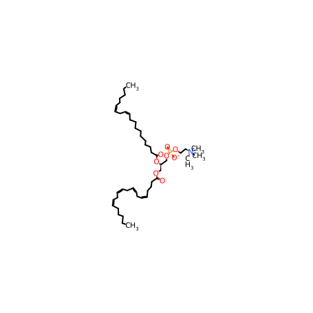 CCCCC/C=C\C/C=C\C/C=C\C/C=C\CCCC(=O)OC[C@H](COP(=O)([O-])OCC[N+](C)(C)C)OC(=O)CCCCCCCCC/C=C\C/C=C\CCCCC